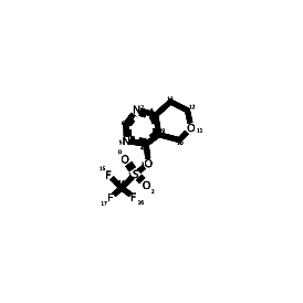 O=S(=O)(Oc1ncnc2c1COCC2)C(F)(F)F